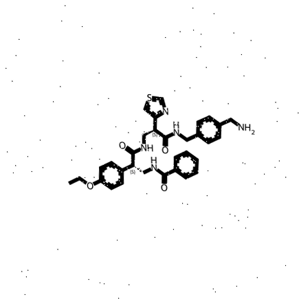 CCOc1ccc([C@@H](CNC(=O)c2ccccc2)C(=O)NC[C@H](C(=O)NCc2ccc(CN)cc2)c2cscn2)cc1